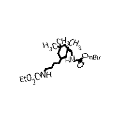 CCCCOC(=O)NCC1(C)CC(CCCCNC(=O)OCC)CC(C)(C)C1